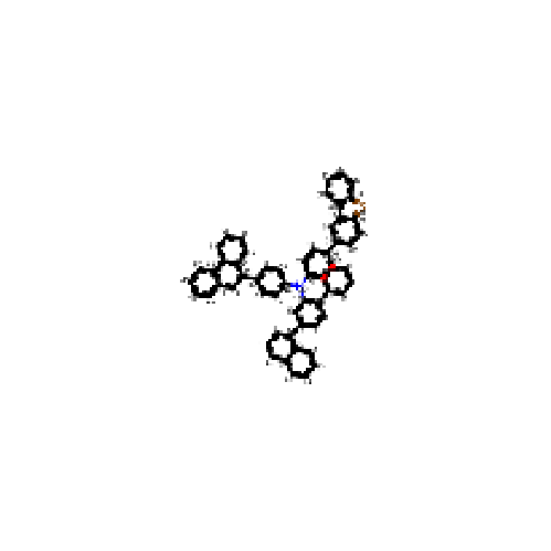 c1ccc(-c2ccc(-c3cccc4ccccc34)cc2N(c2ccc(-c3ccc4sc5ccccc5c4c3)cc2)c2ccc(-c3cc4ccccc4c4ccccc34)cc2)cc1